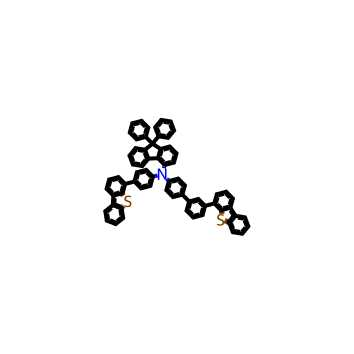 c1ccc(C2(c3ccccc3)c3ccccc3-c3c(N(c4ccc(-c5cccc(-c6cccc7c6sc6ccccc67)c5)cc4)c4ccc(-c5cccc6c5sc5ccccc56)cc4)cccc32)cc1